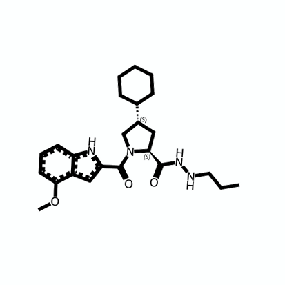 CCCNNC(=O)[C@@H]1C[C@@H](C2CCCCC2)CN1C(=O)c1cc2c(OC)cccc2[nH]1